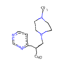 O=CC(CN1CCN(C(F)(F)F)CC1)c1ccncn1